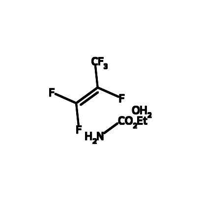 CCOC(N)=O.FC(F)=C(F)C(F)(F)F.O